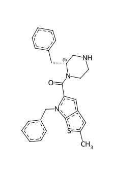 Cc1cc2cc(C(=O)N3CCNC[C@H]3Cc3ccccc3)n(Cc3ccccc3)c2s1